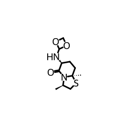 C[C@@H]1CS[C@]2(C)CC[C@H](NC3OCO3)C(=O)N12